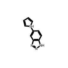 C1=C[SH](c2ccc3[nH]nnc3c2)C=C1